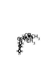 COC(=O)N(C)[C@]1(C)C[C@H]([S+]([O-])N2CC3(CC(C4CCC4)C3)C2)C1